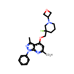 Cc1nn(-c2ccccc2)c2nc(C(=O)O)cc(OCC3(F)CCCN(C4COC4)C3)c12